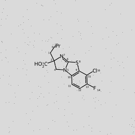 CC(C)CC1(C(=O)O)CN2C(=N1)Sc1c2ccc(F)c1Cl